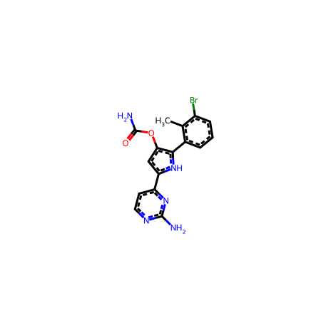 Cc1c(Br)cccc1-c1[nH]c(-c2ccnc(N)n2)cc1OC(N)=O